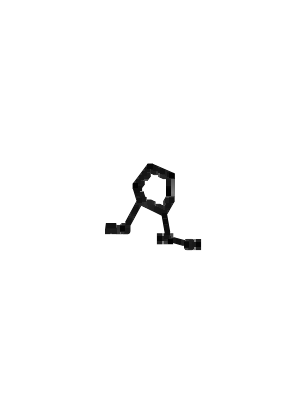 COc1ccccc1NO